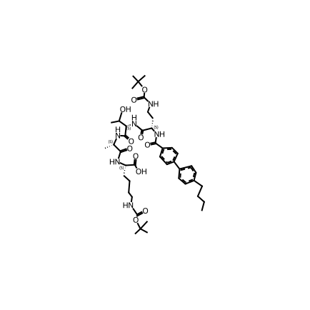 CCCCc1ccc(-c2ccc(C(=O)N[C@@H](CCNC(=O)OC(C)(C)C)C(=O)N[C@H](C(=O)N[C@@H](C)C(=O)N[C@@H](CCCCNC(=O)OC(C)(C)C)C(=O)O)C(C)O)cc2)cc1